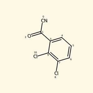 N#CC(=O)c1cccc(Cl)c1Cl